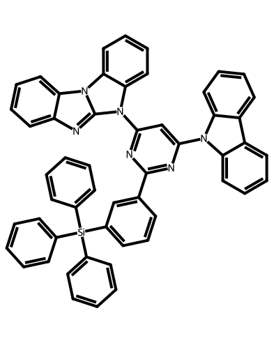 c1ccc([Si](c2ccccc2)(c2ccccc2)c2cccc(-c3nc(-n4c5ccccc5c5ccccc54)cc(-n4c5ccccc5n5c6ccccc6nc45)n3)c2)cc1